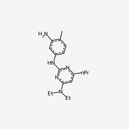 CCCc1cc(N(CC)CC)nc(Nc2ccc(C)c(N)c2)n1